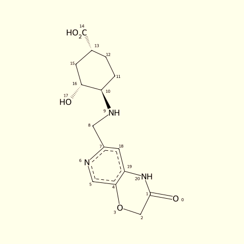 O=C1COc2cnc(CN[C@@H]3CC[C@@H](C(=O)O)C[C@H]3O)cc2N1